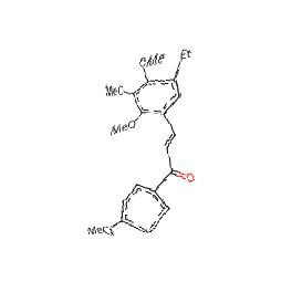 CCc1cc(C=CC(=O)c2ccc(OC)cc2)c(OC)c(OC)c1OC